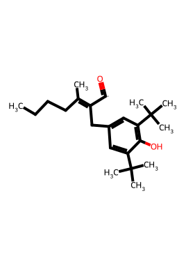 CCCCC(C)=C([C]=O)Cc1cc(C(C)(C)C)c(O)c(C(C)(C)C)c1